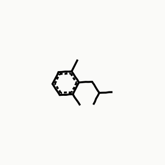 Cc1cccc(C)c1CC(C)C